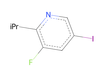 CC(C)c1ncc(I)cc1F